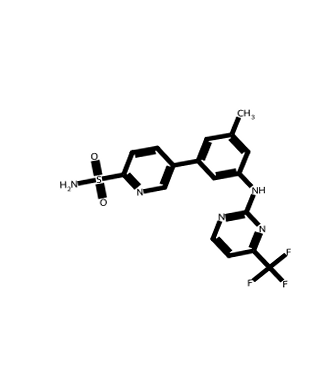 Cc1cc(Nc2nccc(C(F)(F)F)n2)cc(-c2ccc(S(N)(=O)=O)nc2)c1